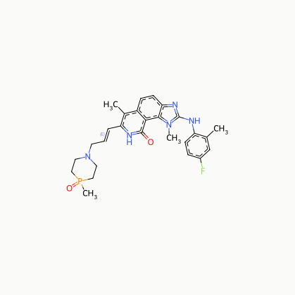 Cc1cc(F)ccc1Nc1nc2ccc3c(C)c(/C=C/CN4CCP(C)(=O)CC4)[nH]c(=O)c3c2n1C